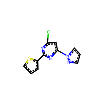 Clc1cc(-n2cccn2)nc(-c2cccs2)n1